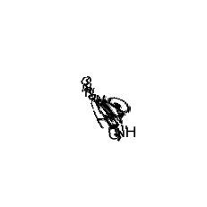 C=CC(=O)Nc1cccc(-n2ccc(=O)c3cnc(Nc4ccc(N5CCN(CCOC)CC5)cc4)nc32)c1